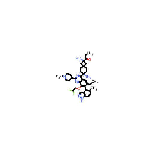 C=CC(=O)C1(N)CC2(CCC(N)(c3nc(C4CCN(C)CC4)nc4c(OCC(F)F)c(-c5c(C)ccc6[nH]ncc56)c(C=C)cc34)CC2)C1